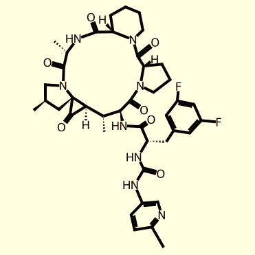 Cc1ccc(NC(=O)N[C@@H](Cc2cc(F)cc(F)c2)C(=O)N[C@@H]2C(=O)N3CCC[C@H]3C(=O)N3CCCC[C@H]3C(=O)N[C@@H](C)C(=O)N3C[C@H](C)C[C@@]34C(=O)[C@@H]4[C@H]2C)cn1